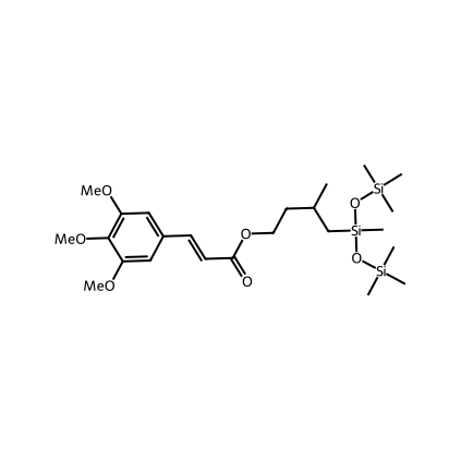 COc1cc(C=CC(=O)OCCC(C)C[Si](C)(O[Si](C)(C)C)O[Si](C)(C)C)cc(OC)c1OC